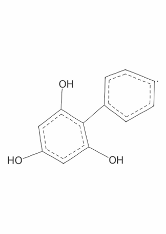 Oc1cc(O)c(-c2cc[c]cc2)c(O)c1